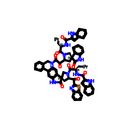 CC(C)C[C@H](NC(=O)c1cc2ccccc2[nH]1)C(=O)N1C[C@]2(CC1C(=O)C(=O)NCc1ccccc1-c1ccc3c(c1)NC(=O)[C@]31CC(C(=O)c3nc4ccccc4s3)N(C(=O)[C@H](CC(C)C)NC(=O)c3cc4ccccc4[nH]3)C1)C(=O)Nc1ccccc12